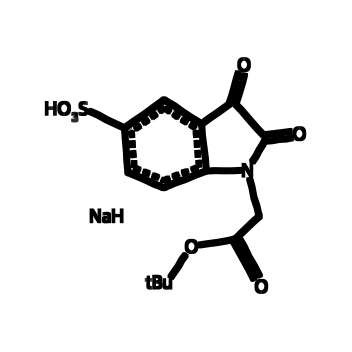 CC(C)(C)OC(=O)CN1C(=O)C(=O)c2cc(S(=O)(=O)O)ccc21.[NaH]